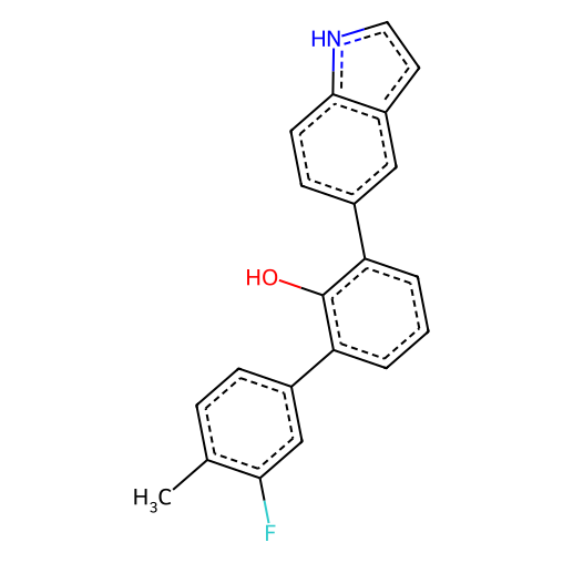 Cc1ccc(-c2cccc(-c3ccc4[nH]ccc4c3)c2O)cc1F